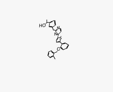 Cc1ccccc1COc1ccccc1-c1ccc(-c2ccnc(Cc3cccc(C(C)O)c3)n2)s1